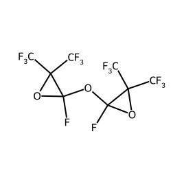 FC(F)(F)C1(C(F)(F)F)OC1(F)OC1(F)OC1(C(F)(F)F)C(F)(F)F